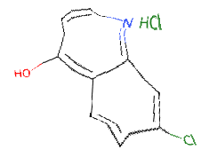 Cl.Oc1ccnc2cc(Cl)ccc12